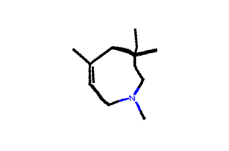 CC1=CCN(C)CC(C)(C)C1